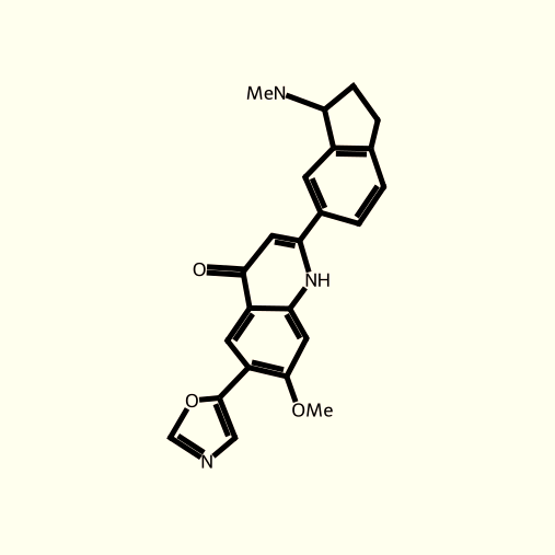 CNC1CCc2ccc(-c3cc(=O)c4cc(-c5cnco5)c(OC)cc4[nH]3)cc21